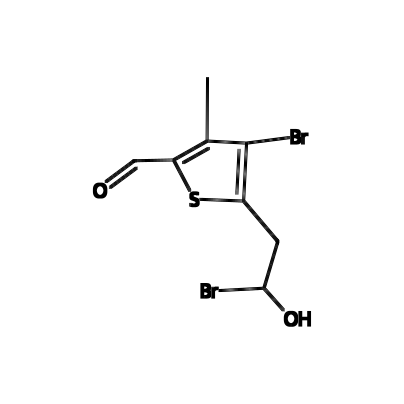 Cc1c(C=O)sc(CC(O)Br)c1Br